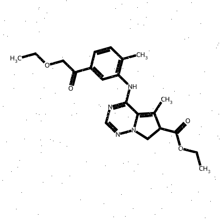 CCOCC(=O)c1ccc(C)c(NC2=NC=NN3CC(C(=O)OCC)C(C)=C23)c1